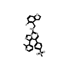 Cc1ncccc1-c1ncn2c(NCc3c(F)ccc4c3CCO4)ncc(-c3ccc(S(C)(=O)=O)cc3)c12